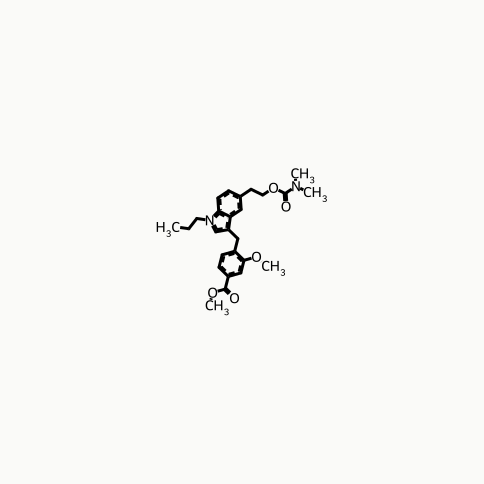 CCCn1cc(Cc2ccc(C(=O)OC)cc2OC)c2cc(CCOC(=O)N(C)C)ccc21